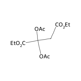 CCOC(=O)CC(OC(C)=O)(OC(C)=O)C(=O)OCC